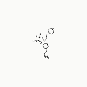 NCCc1ccc(OCCN2CCOCC2)cc1.O=C(O)C(F)(F)F